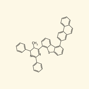 CC1C(c2cccc3c2sc2cccc(-c4ccc5c(ccc6ccccc65)c4)c23)=NC(c2ccccc2)=NC1c1ccccc1